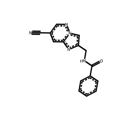 N#Cc1cnn2cc(CNC(=O)c3ccccc3)nc2c1